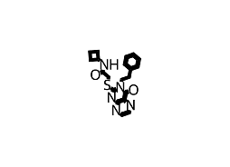 O=C(CSc1nc2nccnc2c(=O)n1CCc1ccccc1)NC1CCC1